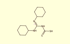 S=C(S)N/C(=N\C1CCCCC1)NC1CCCCC1